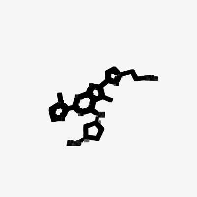 COCCn1ccc(-c2sc3nc(-c4nccn4C)nc(N[C@@H]4CC[C@H](OC)C4)c3c2C)n1